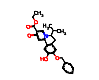 CCOC(=O)c1cn2c(cc1=O)-c1cc(O)c(OCc3ccccc3)cc1CC2C(C)C